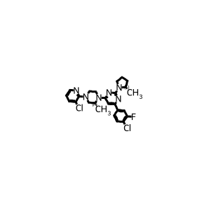 C[C@@H]1CN(c2ncccc2Cl)CCN1c1cc(-c2ccc(Cl)c(F)c2)nc(N2CCC[C@@H]2C)n1